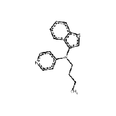 CCCCN(c1ccncc1)c1csc2ccccc12